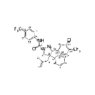 C=C(C)CC1(c2ccccc2)CN(C(=O)Nc2ccc(C(F)(F)F)cc2)N=C1c1ccc(C(F)(F)F)c(Cl)c1